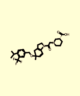 CC(C)c1ccc(COC2(C)C=CC3=C(CCN3C(=O)CN3CCC[C@@H](C(=O)O)C3)C2)cc1C(F)(F)F